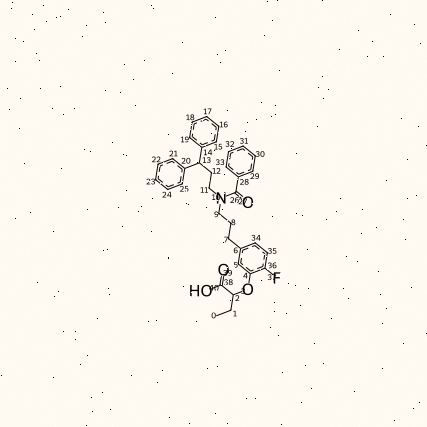 CCC(Oc1cc(CCCN(CCC(c2ccccc2)c2ccccc2)C(=O)c2ccccc2)ccc1F)C(=O)O